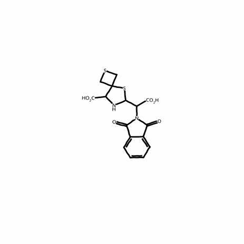 O=C(O)C(C1NC(C(=O)O)C2(CSC2)S1)N1C(=O)c2ccccc2C1=O